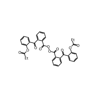 CCC(=O)Oc1ccccc1C(=O)c1ccccc1C(=O)OOC(=O)c1ccccc1C(=O)c1ccccc1OC(=O)CC